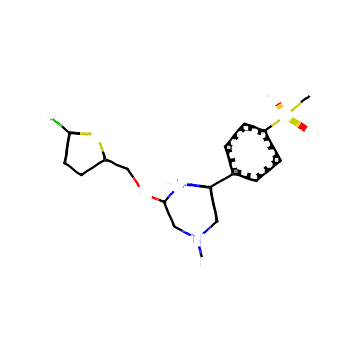 CCCN1CC(OCC2CCC(Cl)S2)NC(c2ccc(S(C)(=O)=O)cc2)C1